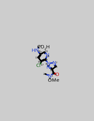 CON(C)C(=O)c1cnn(-c2ncc(NC(=O)O)cc2Cl)n1